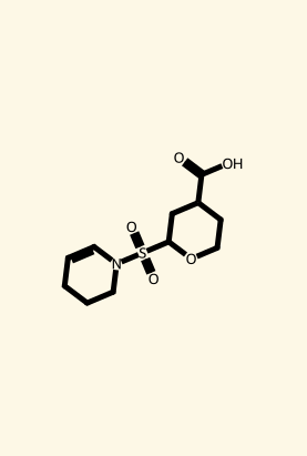 O=C(O)C1CCOC(S(=O)(=O)N2C=CCCC2)C1